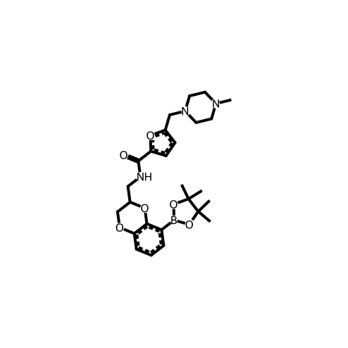 CN1CCN(Cc2ccc(C(=O)NCC3COc4cccc(B5OC(C)(C)C(C)(C)O5)c4O3)o2)CC1